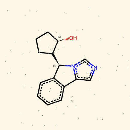 O[C@H]1CCCC1[C@@H]1c2ccccc2-c2cncn21